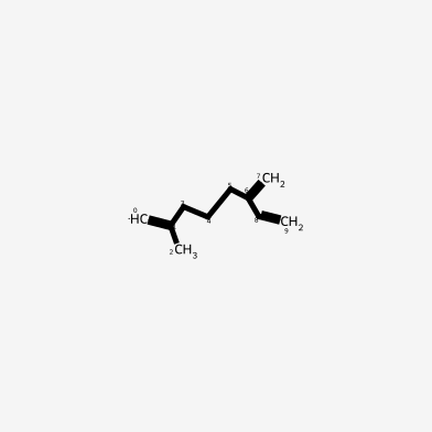 [CH]=C(C)CCCC(=C)C=C